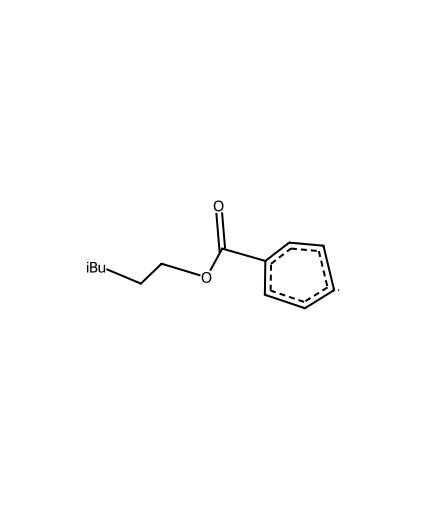 CCC(C)CCOC(=O)c1cc[c]cc1